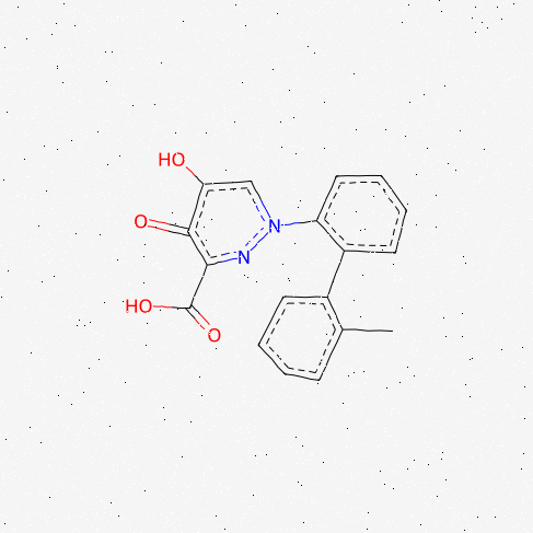 Cc1ccccc1-c1ccccc1-n1cc(O)c(=O)c(C(=O)O)n1